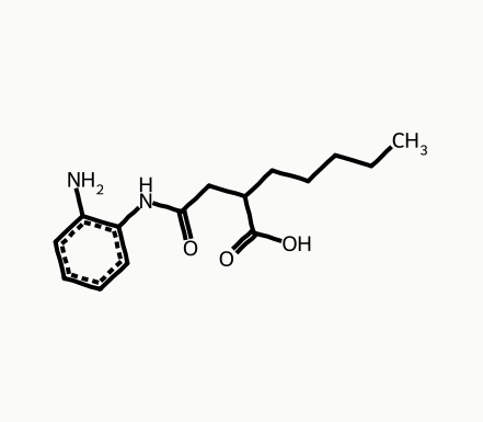 CCCCCC(CC(=O)Nc1ccccc1N)C(=O)O